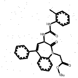 Cc1ccccc1NC(=O)NC1C=C(c2ccccc2)c2ccccc2N(CC(=O)OC(C)(C)C)C1=O